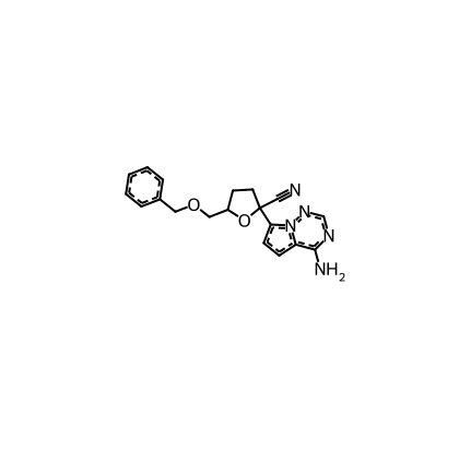 N#CC1(c2ccc3c(N)ncnn23)CCC(COCc2ccccc2)O1